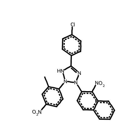 Cc1cc([N+](=O)[O-])ccc1N1NC(c2ccc(Cl)cc2)=NN1c1ccc2ccccc2c1[N+](=O)[O-]